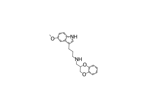 COc1ccc2[nH]cc(CCCNCC3COc4ccccc4O3)c2c1